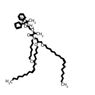 CCCCCCCC/C=C\CCCCCCCCOCC(CN(CCCCCCCC)C(=O)C(C)OCCO[Si](c1ccccc1)(c1ccccc1)C(C)(C)C)OCCCCCCCC/C=C\CCCCCCCC